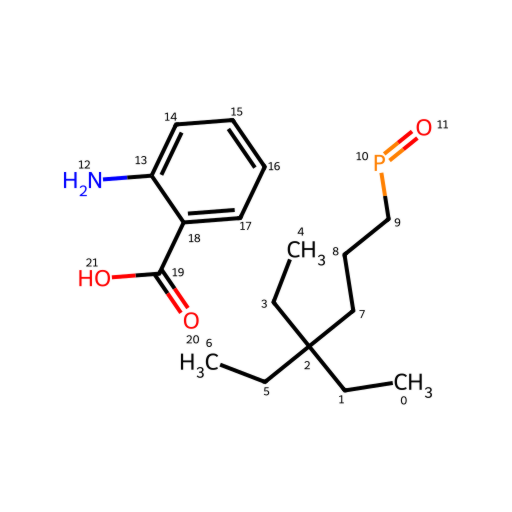 CCC(CC)(CC)CCCP=O.Nc1ccccc1C(=O)O